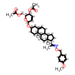 COc1ccc(CO/N=C(\C)[C@H]2CCC3C4CC=C5CC(OC6C=C[C@H](OC(C)=O)[C@@H](COC(C)=O)O6)CC[C@]5(C)C4CC[C@@]32C)cc1